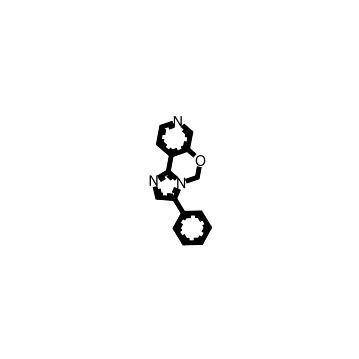 c1ccc(-c2cnc3n2COc2cnccc2-3)cc1